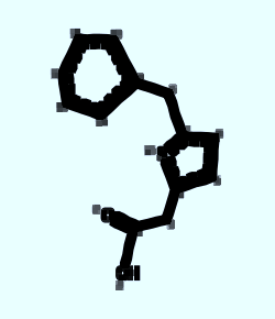 O=C(O)Cc1ccc(Cc2ccccc2)s1